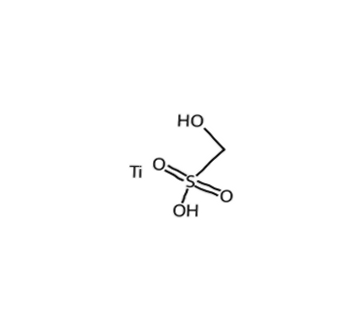 O=S(=O)(O)CO.[Ti]